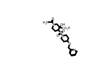 NC(=O)N1CCC(S(=O)(=O)N2CCC(OCc3ccccn3)CC2)C(O)(C(=O)O)C1